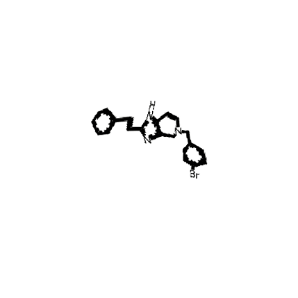 Brc1ccc(CN2C=Cc3[nH]c(/C=C/c4ccccc4)nc3C2)cc1